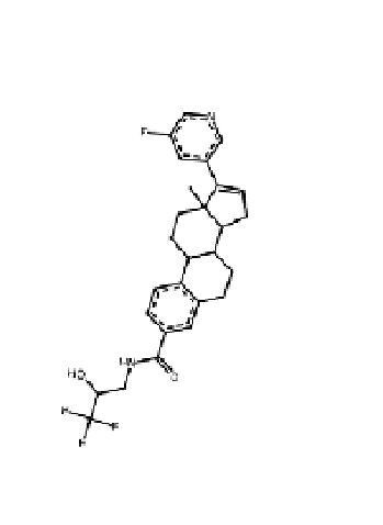 CC12CCC3c4ccc(C(=O)NCC(O)C(F)(F)F)cc4CCC3C1CC=C2c1cncc(F)c1